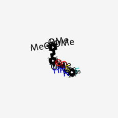 COc1ccc(C=Cc2cc(OC)c(OC)c(OC)c2)cc1OCC(=O)Nc1nc2ccc(F)cc2s1